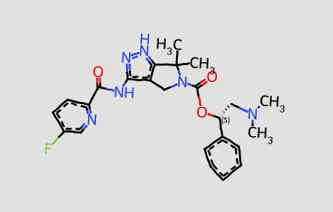 CN(C)C[C@@H](OC(=O)N1Cc2c(NC(=O)c3ccc(F)cn3)n[nH]c2C1(C)C)c1ccccc1